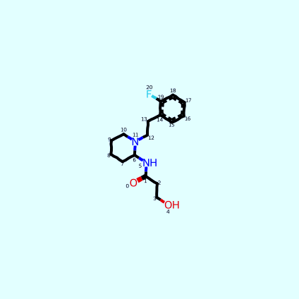 O=C(CCO)NC1CCCCN1CCc1ccccc1F